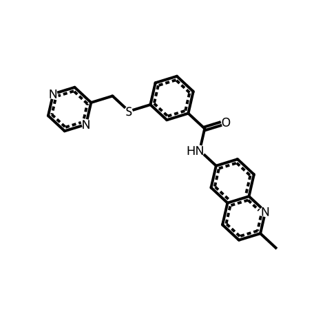 Cc1ccc2cc(NC(=O)c3cccc(SCc4cnccn4)c3)ccc2n1